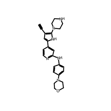 C#Cc1cc(-c2ccnc(Nc3ccc(N4CCOCC4)cc3)c2)[nH]c1N1CCNCC1